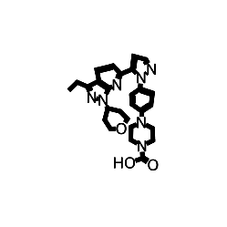 CCc1nn(C2CCOCC2)c2nc(-c3ccnn3-c3ccc(N4CCN(C(=O)O)CC4)cc3)ccc12